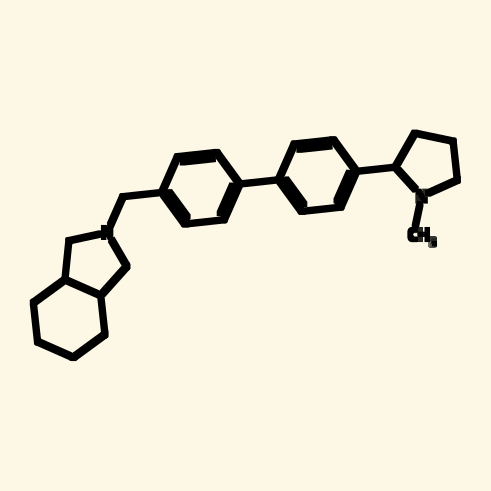 CN1CCCC1c1ccc(-c2ccc(CN3CC4CCCCC4C3)cc2)cc1